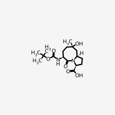 CC(C)(C)OC(=O)N[C@H]1CC[C@](C)(O)C[C@H]2CC[C@@H](C(=O)O)N2C1=O